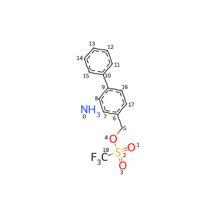 N.O=S(=O)(OCc1ccc(-c2ccccc2)cc1)C(F)(F)F